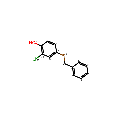 Oc1ccc(SCc2ccccc2)cc1Cl